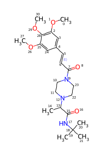 COc1cc(/C=C/C(=O)N2CCN(C(C)C(=O)NC(C)(C)C)CC2)cc(OC)c1OC